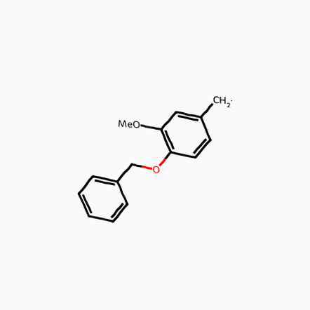 [CH2]c1ccc(OCc2ccccc2)c(OC)c1